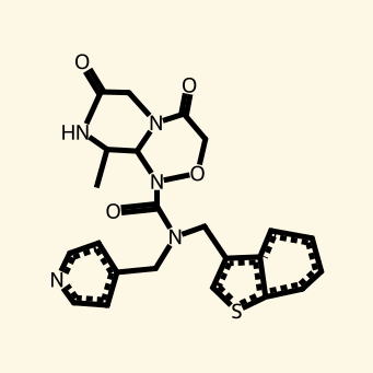 CC1NC(=O)CN2C(=O)CON(C(=O)N(Cc3ccncc3)Cc3csc4ccccc34)C12